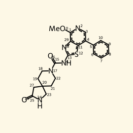 COc1ncc(-c2ccccc2)c2sc(NC(=O)N3CCC4(CC3)CNC(=O)C4)nc12